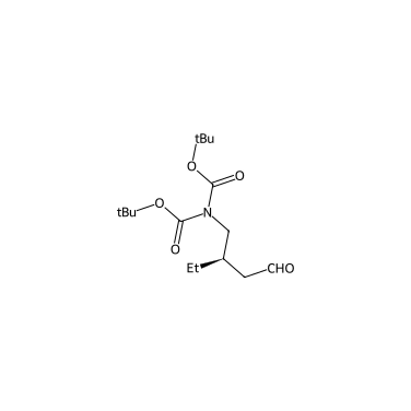 CC[C@H](CC=O)CN(C(=O)OC(C)(C)C)C(=O)OC(C)(C)C